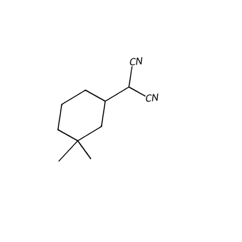 CC1(C)CCCC(C(C#N)C#N)C1